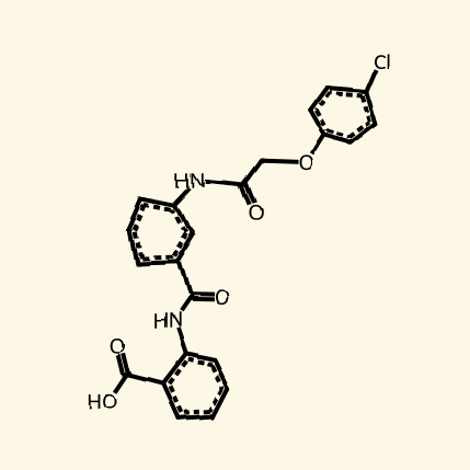 O=C(COc1ccc(Cl)cc1)Nc1cccc(C(=O)Nc2ccccc2C(=O)O)c1